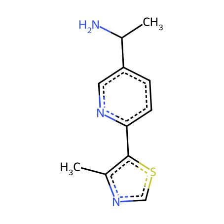 Cc1ncsc1-c1ccc(C(C)N)cn1